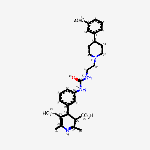 COc1cccc(C2CCN(CCNC(=O)Nc3cccc(C4C(C(=O)O)=C(C)N=C(C)C4C(=O)O)c3)CC2)c1